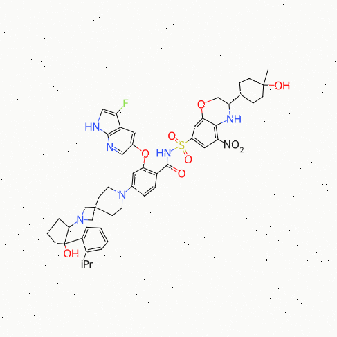 CC(C)c1ccccc1C1(O)CCCC1N1CC2(CCN(c3ccc(C(=O)NS(=O)(=O)c4cc5c(c([N+](=O)[O-])c4)NC(C4CCC(C)(O)CC4)CO5)c(Oc4cnc5[nH]cc(F)c5c4)c3)CC2)C1